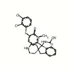 Cn1c(C2(NC(=O)O)c3ccccc3CC23CCNCC3)ncc(Sc2cccc(Cl)c2Cl)c1=O